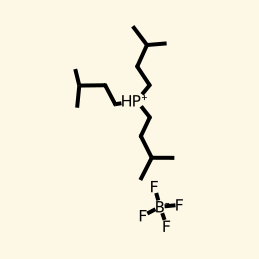 CC(C)CC[PH+](CCC(C)C)CCC(C)C.F[B-](F)(F)F